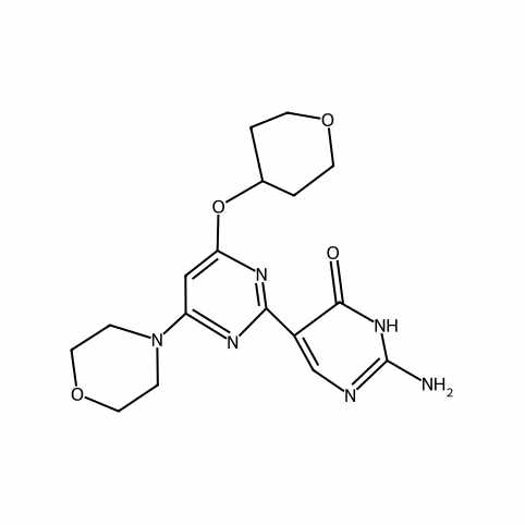 Nc1ncc(-c2nc(OC3CCOCC3)cc(N3CCOCC3)n2)c(=O)[nH]1